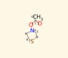 CC(=O)ON1CCSCC1